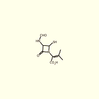 CC(C)=C(C(=O)O)N1C(=O)C(NC=O)C1S